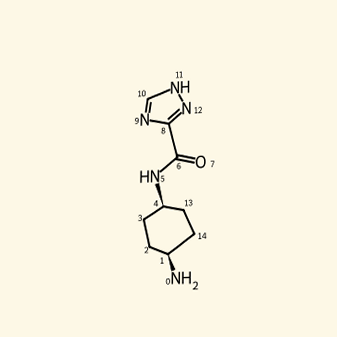 N[C@H]1CC[C@@H](NC(=O)c2nc[nH]n2)CC1